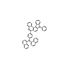 c1ccc(-n2c3ccccc3c3c4c(ccc32)c(-c2ccc(N(c3cccc5ccccc35)c3cccc5ccccc35)cc2)nc2ccccc24)cc1